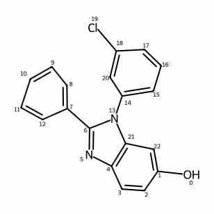 Oc1ccc2nc(-c3ccccc3)n(-c3cccc(Cl)c3)c2c1